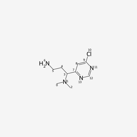 CN(C)C(CCN)c1cc(Cl)ncn1